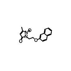 CC1=CC(=O)N(CCOc2ccc3ccccc3c2)[N+]1=O